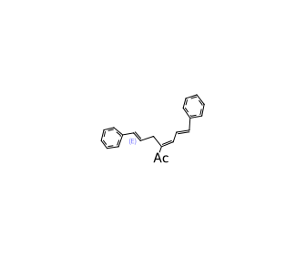 CC(=O)C(=CC=Cc1ccccc1)C/C=C/c1ccccc1